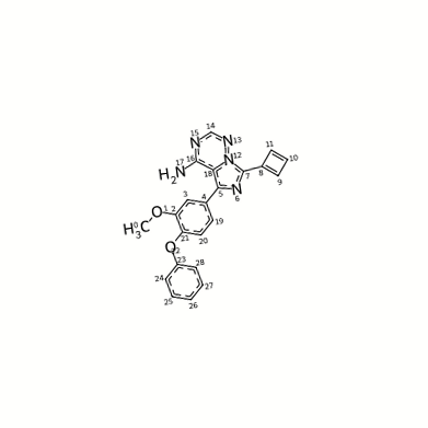 COc1cc(-c2nc(C3=CC=C3)n3ncnc(N)c23)ccc1Oc1ccccc1